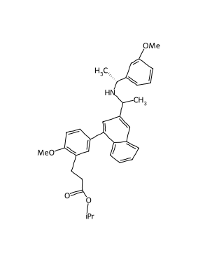 COc1cccc([C@@H](C)NC(C)c2cc(-c3ccc(OC)c(CCC(=O)OC(C)C)c3)c3ccccc3c2)c1